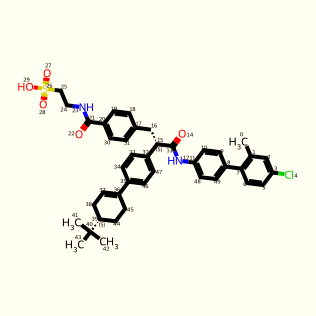 Cc1cc(Cl)ccc1-c1ccc(NC(=O)[C@@H](Cc2ccc(C(=O)NCCS(=O)(=O)O)cc2)c2ccc(C3=CC[C@@H](C(C)(C)C)CC3)cc2)cc1